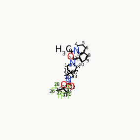 CC(=O)N1CCCc2cccc(CN3CCC4(CC3)CN(C(=O)OC(C(F)(F)F)C(F)(F)F)C4)c21